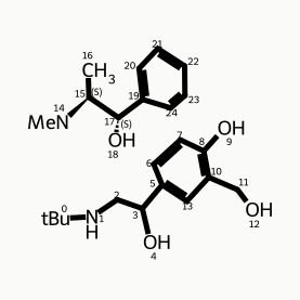 CC(C)(C)NCC(O)c1ccc(O)c(CO)c1.CN[C@@H](C)[C@@H](O)c1ccccc1